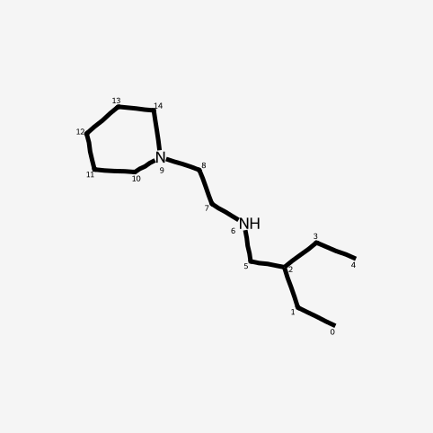 CCC(CC)CNCCN1CCCCC1